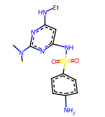 CCNc1cc(NS(=O)(=O)c2ccc(N)cc2)nc(N(C)C)n1